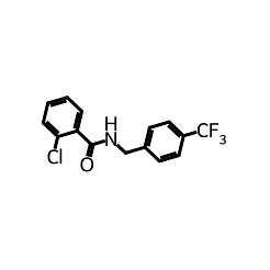 O=C(NCc1ccc(C(F)(F)F)cc1)c1ccccc1Cl